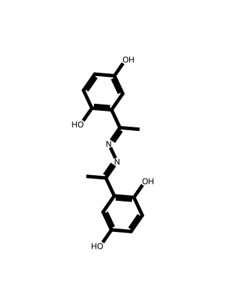 C/C(=N\N=C(/C)c1cc(O)ccc1O)c1cc(O)ccc1O